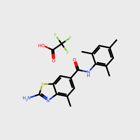 Cc1cc(C)c(NC(=O)c2cc(C)c3nc(N)sc3c2)c(C)c1.O=C(O)C(F)(F)F